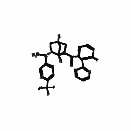 CN(c1cnc(C(F)(F)F)cn1)[C@@H]1C[C@@H]2C[C@@H]1N(C(=O)c1cccc(F)c1-c1ncccn1)C2